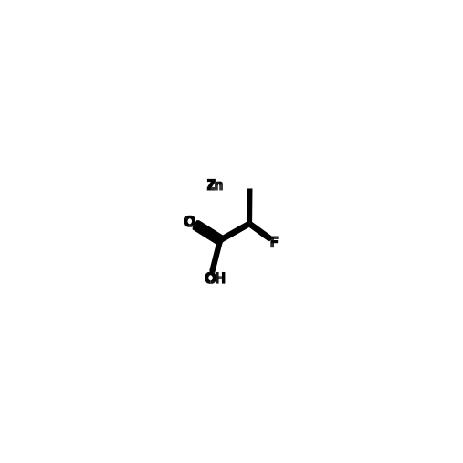 CC(F)C(=O)O.[Zn]